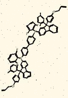 C=CCOc1ccc(C2(c3cc(C)ccc3C)c3ccccc3-c3ccc(N(c4ccc(-c5ccc(N(c6ccc7c(c6)C(c6ccc(OCC=C)cc6)(c6cc(C)ccc6C)c6ccccc6-7)c6c(F)cccc6F)cc5)cc4)c4c(F)cccc4F)cc32)cc1